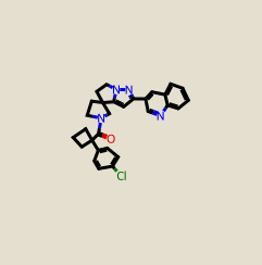 O=C(N1CCC2(CCn3nc(-c4cnc5ccccc5c4)cc32)C1)C1(c2ccc(Cl)cc2)CCC1